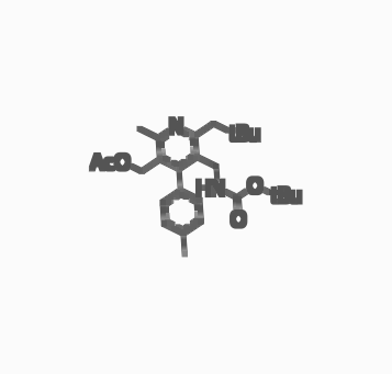 CC(=O)OCc1c(C)nc(CC(C)(C)C)c(CNC(=O)OC(C)(C)C)c1-c1ccc(C)cc1